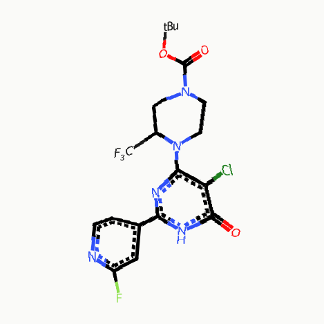 CC(C)(C)OC(=O)N1CCN(c2nc(-c3ccnc(F)c3)[nH]c(=O)c2Cl)C(C(F)(F)F)C1